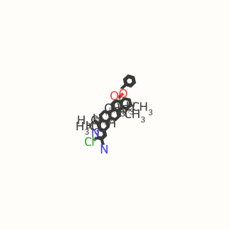 C[C@@H]1[C@H]2C3=CC[C@H]4[C@]5(C)Cc6cc(C#N)c(Cl)nc6C(C)(C)[C@H]5CC[C@]4(C)[C@]3(C)CC[C@@]2(C(=O)OCc2ccccc2)CC[C@@H]1C